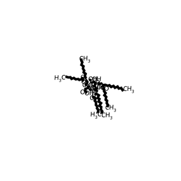 CCCCCCCCCCC[C@H](CC(=O)N[C@@H](CO[C@@H]1O[C@H](CO)[C@@H](O)[C@H](OC(=O)C[C@@H](CCCCCCCCCCC)OC(=O)CCCCCCCCC)[C@H]1NC(=O)C[C@@H](CCCCCCCCCCC)OC(=O)CCCCCCCCC)CC(=O)O)OC(=O)CCCCCCCCC